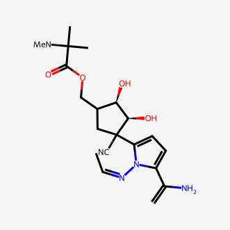 C=C(N)c1ccc(C2(C#N)CC(COC(=O)C(C)(C)NC)[C@@H](O)[C@H]2O)n1/N=C\C